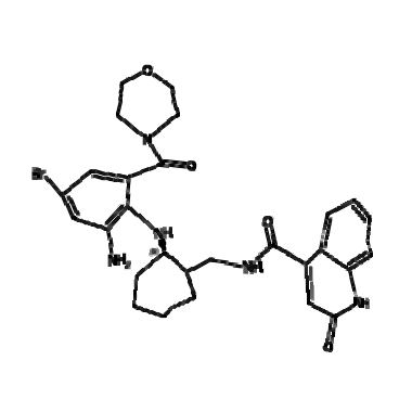 Nc1cc(Br)cc(C(=O)N2CCOCC2)c1N[C@@H]1CCCCC1CNC(=O)c1cc(=O)[nH]c2ccccc12